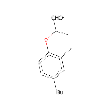 CCC(C)c1ccc(OC(C)[C]=O)c(C)c1